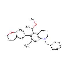 CC(=O)C(OC(C)(C)C)c1c2c(cc(C)c1-c1ccc3c(c1)CCCO3)N(Cc1ccccc1)CCC2